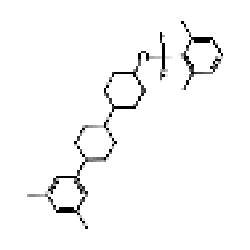 Cc1cc(C)cc(C2CCC(C3CCC(OC(F)(F)c4c(C)cccc4C)CC3)CC2)c1